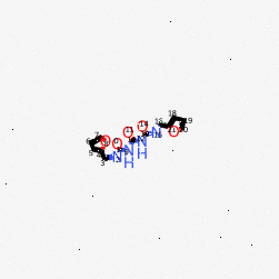 O=C(/N=C\c1ccco1)NC(=O)NC(=O)/N=C/c1ccco1